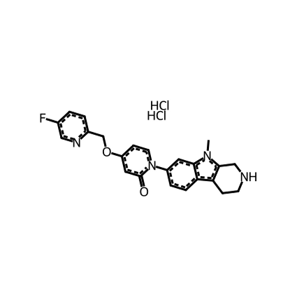 Cl.Cl.Cn1c2c(c3ccc(-n4ccc(OCc5ccc(F)cn5)cc4=O)cc31)CCNC2